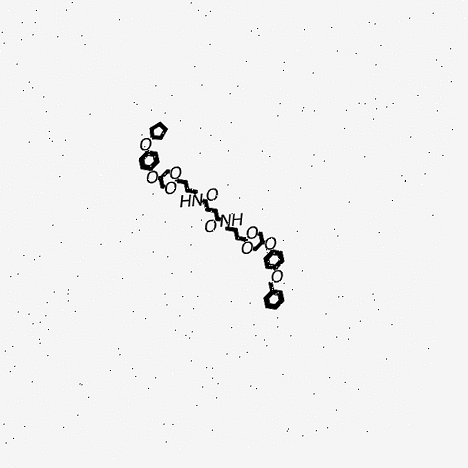 O=C(CCC(=O)NCCCC1OCC(Oc2ccc(OC3CCCC3)cc2)CO1)NCCCC1OCC(Oc2ccc(OCc3ccccc3)cc2)CO1